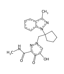 CNC(=O)c1nn(CC2(n3nc(C)c4ccccc43)CCCC2)cc(O)c1=O